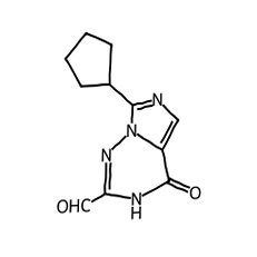 O=Cc1nn2c(C3CCCC3)ncc2c(=O)[nH]1